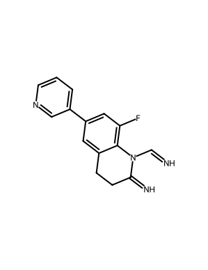 N=CN1C(=N)CCc2cc(-c3cccnc3)cc(F)c21